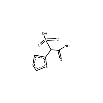 [NH]C(=O)C(c1cccs1)S(=O)(=O)O